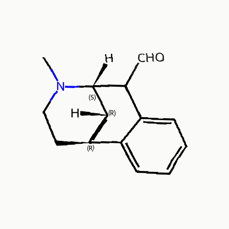 CN1CC[C@]23CCCC[C@H]2[C@H]1C(C=O)c1ccccc13